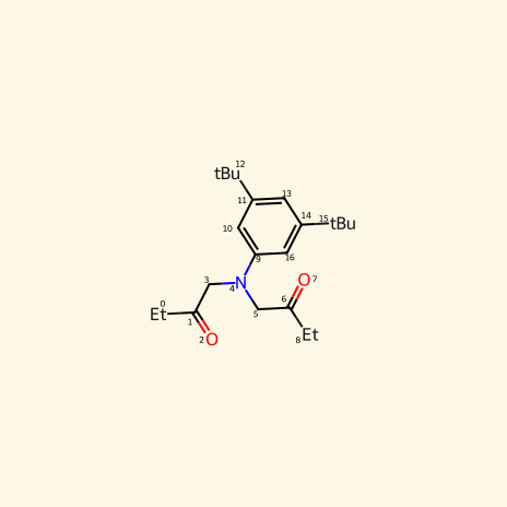 CCC(=O)CN(CC(=O)CC)c1cc(C(C)(C)C)cc(C(C)(C)C)c1